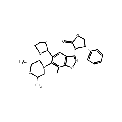 C[C@@H]1CN(c2c(C3OCCO3)cc3c(N4C(=O)OC[C@@H]4c4ccccc4)noc3c2F)C[C@H](C)O1